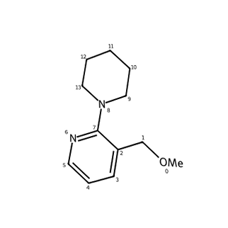 COCc1cccnc1N1CCCCC1